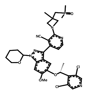 COc1cc2c(cc1O[C@H](C)c1c(Cl)cncc1Cl)c(-c1ccnc(N3CC(C)(CP(C)(C)=O)C3)c1C#N)nn2C1CCCCO1